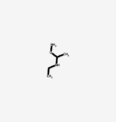 CCNC(C)ON